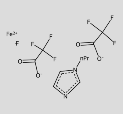 CCCn1ccnc1.O=C([O-])C(F)(F)F.O=C([O-])C(F)(F)F.[F].[Fe+2]